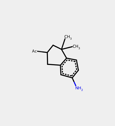 CC(=O)C1Cc2cc(N)ccc2C(C)(C)C1